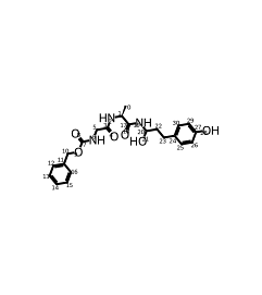 C[C@H](NC(=O)CNC(=O)OCc1ccccc1)C(=O)NC(O)CCc1ccc(O)cc1